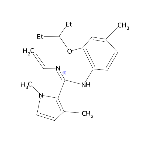 C=C/N=C(/Nc1ccc(C)cc1OC(CC)CC)c1c(C)ccn1C